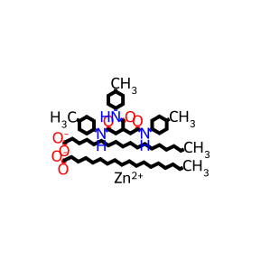 CC1CCC(NC(=O)CC(CC(=O)NC2CCC(C)CC2)C(=O)NC2CCC(C)CC2)CC1.CCCCCCCCCCCCCCCCCC(=O)[O-].CCCCCCCCCCCCCCCCCC(=O)[O-].[Zn+2]